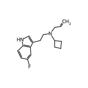 C=CCN(CCc1c[nH]c2ccc(F)cc12)C1CCC1